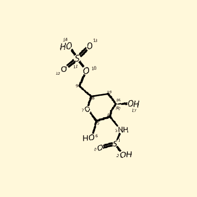 O=S(O)NC1C(O)OC(COS(=O)(=O)O)C[C@H]1O